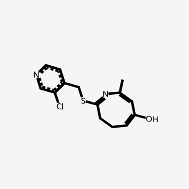 CC1=C/C(O)=C\CC/C(SCc2ccncc2Cl)=N\1